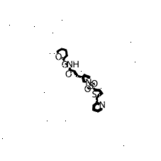 O=C(C=Cc1ccn(S(=O)(=O)c2ccc(-c3ccccn3)s2)c1)NOC1CCCCO1